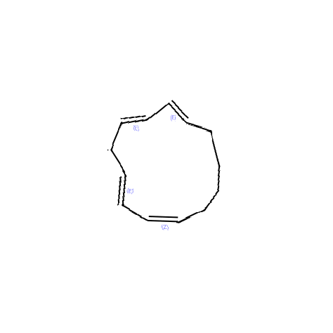 [CH]1/C=C/C=C\CCCC/C=C/C=C/1